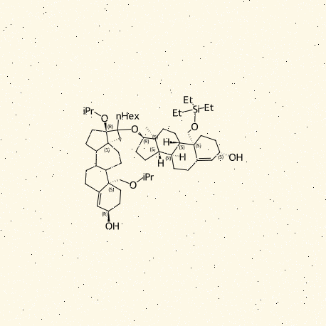 CCCCCCC(C)(O[C@@H]1CC[C@H]2[C@@H]3CCC4=C[C@@H](O)CC[C@]4(CO[Si](CC)(CC)CC)[C@H]3CC[C@]12C)[C@@]1(OC(C)C)CCC2C3CCC4=C[C@H](O)CC[C@]4(COC(C)C)C3CC[C@@]21C